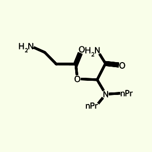 CCCN(CCC)C(OC(=O)CCN)C(N)=O